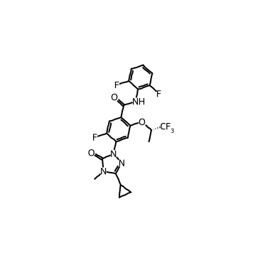 C[C@H](Oc1cc(-n2nc(C3CC3)n(C)c2=O)c(F)cc1C(=O)Nc1c(F)cccc1F)C(F)(F)F